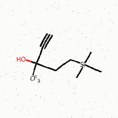 C#CC(O)(CC[Si](C)(C)C)C(F)(F)F